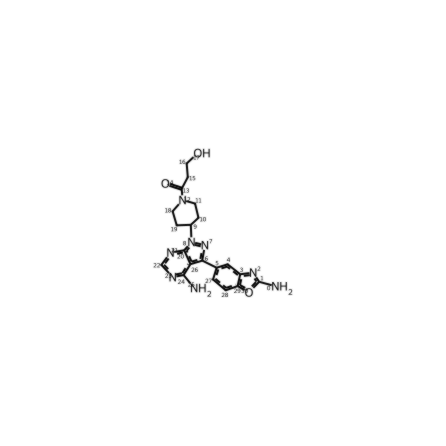 Nc1nc2cc(-c3nn(C4CCN(C(=O)CCO)CC4)c4ncnc(N)c34)ccc2o1